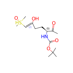 CC(=O)[C@H](CC/C(O)=C/[SH](C)(C)=O)NC(=O)OC(C)(C)C